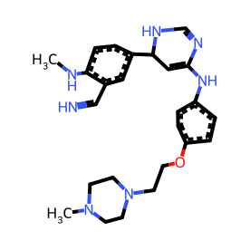 CNc1ccc(C2C=C(Nc3ccc(OCCN4CCN(C)CC4)cc3)N=CN2)cc1C=N